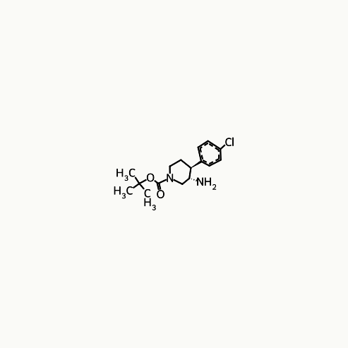 CC(C)(C)OC(=O)N1CC[C@@H](c2ccc(Cl)cc2)[C@H](N)C1